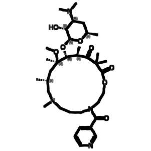 CO[C@]1(C)C[C@@H](C)CN(C)CCCN(C(=O)c2cccnc2)CCOC(=O)C(C)(C)C(=O)[C@H](C)[C@H]1O[C@@H]1O[C@H](C)C[C@H](N(C)C)[C@H]1O